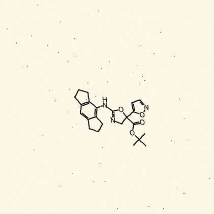 CC(C)(C)OC(=O)C1(c2ccno2)CN=C(Nc2c3c(cc4c2CCC4)CCC3)O1